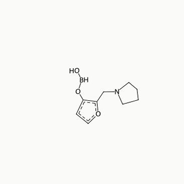 OBOc1ccoc1CN1CCCC1